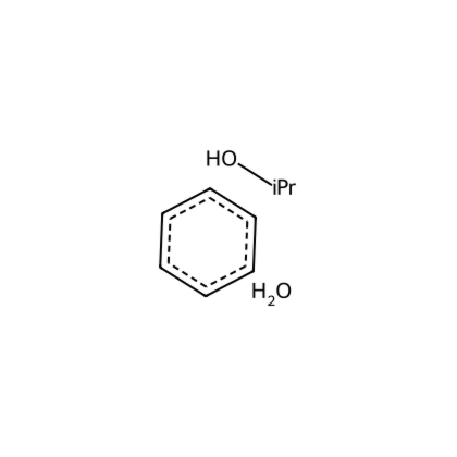 CC(C)O.O.c1ccccc1